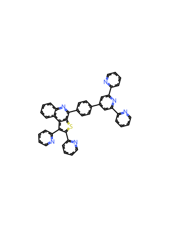 c1ccc(-c2cc(-c3ccc(-c4nc5ccccc5c5c(-c6ccccn6)c(-c6ccccn6)sc45)cc3)cc(-c3ccccn3)n2)nc1